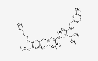 COCCCOc1cc(C[C@@H](C[C@H](N)[C@@H](O)C[C@H](C(=O)NCc2cccc(C)c2)C(C)C)C(C)C)ccc1OC